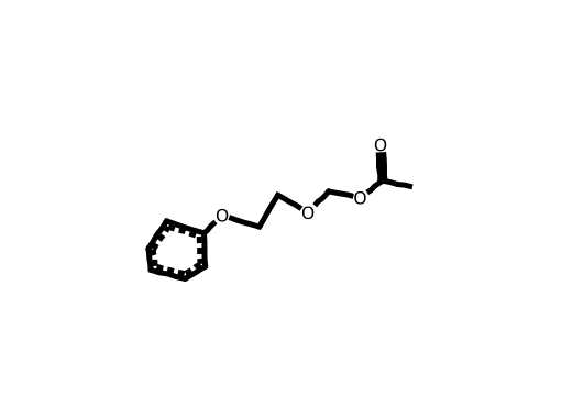 CC(=O)OCOCCOc1ccccc1